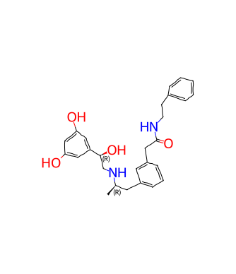 C[C@H](Cc1cccc(CC(=O)NCCc2ccccc2)c1)NC[C@H](O)c1cc(O)cc(O)c1